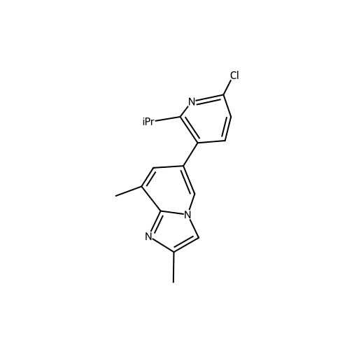 Cc1cn2cc(-c3ccc(Cl)nc3C(C)C)cc(C)c2n1